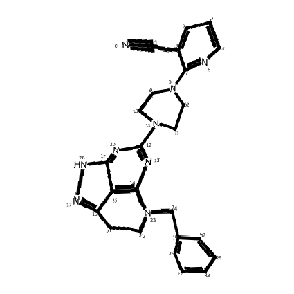 N#Cc1cccnc1N1CCN(c2nc3c4c(n[nH]c4n2)CCN3Cc2ccccc2)CC1